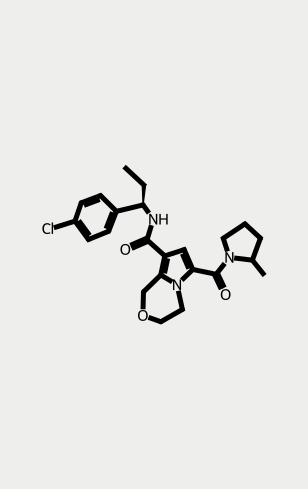 CC[C@@H](NC(=O)c1cc(C(=O)N2CCCC2C)n2c1COCC2)c1ccc(Cl)cc1